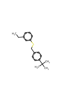 CCc1cccc(SCc2ccc(C(C)(C)C)cc2)c1